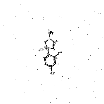 CCCN1C[N+]([O-])(c2ccc(Br)cc2F)C=N1